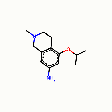 CC(C)Oc1cc(N)cc2c1CCN(C)C2